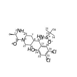 C[C@@H](N)C(=O)N1CCC(C(N[S+]([O-])C(C)(C)C)c2cc(Cl)c(Cl)cc2O)CC1